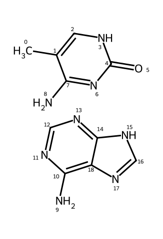 Cc1c[nH]c(=O)nc1N.Nc1ncnc2[nH]cnc12